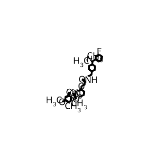 COc1cc(C)c(S(=O)(=O)N2CCCC(OCC(=O)NCCC3CCC(C(c4cccc(F)c4)N(C)C)CC3)C2)c(C)c1C